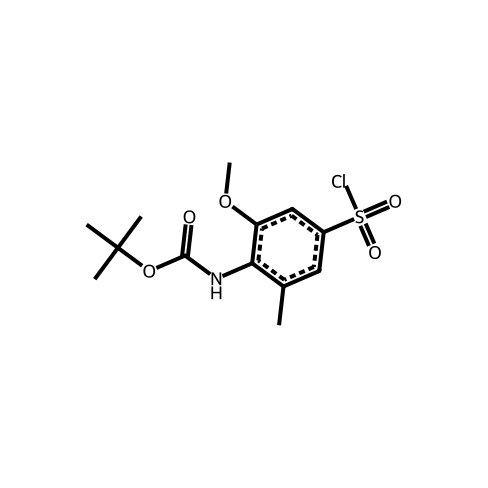 COc1cc(S(=O)(=O)Cl)cc(C)c1NC(=O)OC(C)(C)C